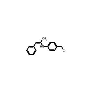 CC(=Cc1ccccc1)Nc1ccc(CCl)cc1